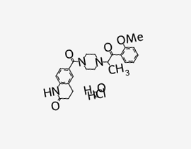 COc1ccccc1C(=O)C(C)N1CCN(C(=O)c2ccc3c(c2)CCC(=O)N3)CC1.Cl.O